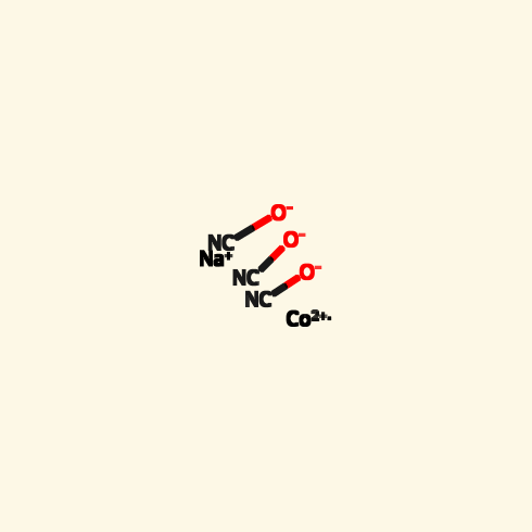 N#C[O-].N#C[O-].N#C[O-].[Co+2].[Na+]